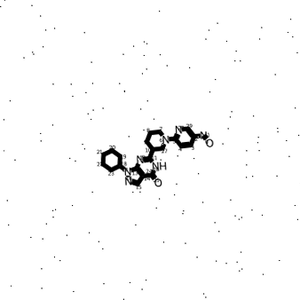 O=Nc1ccc(N2CCCC(c3nc4c(cnn4C4CCCCC4)c(=O)[nH]3)C2)nc1